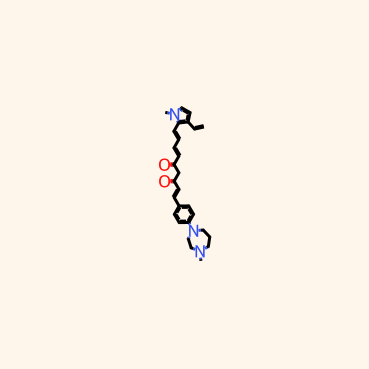 C=Cc1ccn(C)c1/C=C/C=C/C(=O)CC(=O)/C=C/c1ccc(N2CCCN(C)CC2)cc1